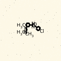 Cc1ccc(-c2noc(-c3ccc(Cl)cc3)n2)cc1N=CN(C)C